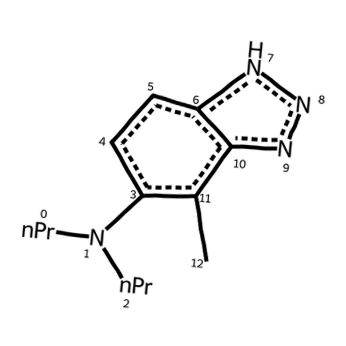 CCCN(CCC)c1ccc2[nH]nnc2c1C